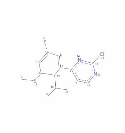 CSC1C=C(F)C=C(c2ccnc(Cl)n2)C1C(C)C